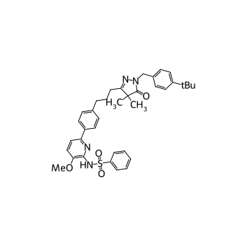 COc1ccc(-c2ccc(CCCC3=NN(Cc4ccc(C(C)(C)C)cc4)C(=O)C3(C)C)cc2)nc1NS(=O)(=O)c1ccccc1